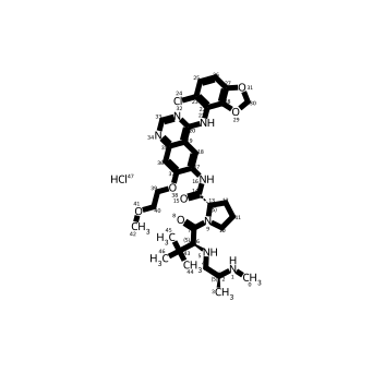 CN[C@@H](C)CN[C@H](C(=O)N1CCC[C@H]1C(=O)Nc1cc2c(Nc3c(Cl)ccc4c3OCO4)ncnc2cc1OCCOC)C(C)(C)C.Cl